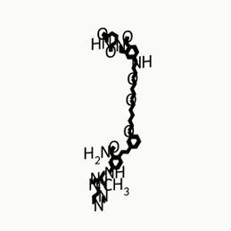 Cn1c(CNc2ccc(CCc3cccc(OCCCCCOCCCOCCNc4ccc5c(c4)CN(C4CCC(=O)NC4=O)C5=O)c3)c(C(N)=O)c2)nnc1-c1ccncn1